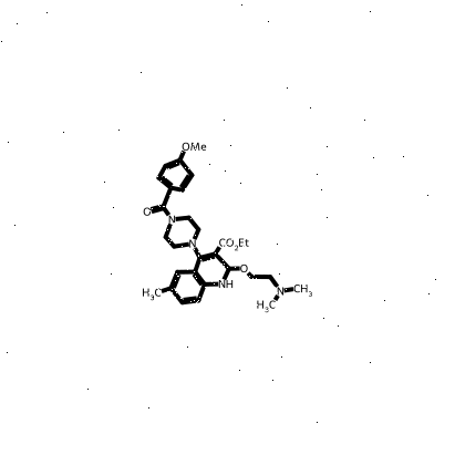 CCOC(=O)C1=C(N2CCN(C(=O)c3ccc(OC)cc3)CC2)c2cc(C)ccc2NC1OCCN(C)C